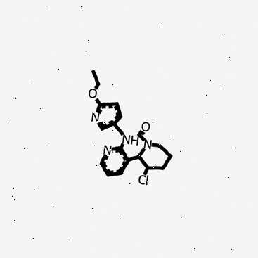 CCOc1ccc(Nc2ncccc2C2C(Cl)CCCN2C=O)cn1